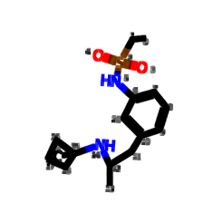 CCS(=O)(=O)Nc1cccc(CC(C)NC23CC(C2)C3)c1